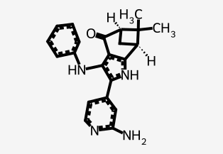 CC1(C)[C@@H]2C[C@H]1C(=O)c1c2[nH]c(-c2ccnc(N)c2)c1Nc1ccccc1